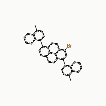 Cc1ccc(-c2ccc3ccc4c(-c5ccc(C)c6ccccc56)cc(Br)c5ccc2c3c54)c2ccccc12